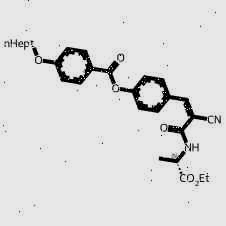 CCCCCCCOc1ccc(C(=O)Oc2ccc(C=C(C#N)C(=O)N[C@@H](C)C(=O)OCC)cc2)cc1